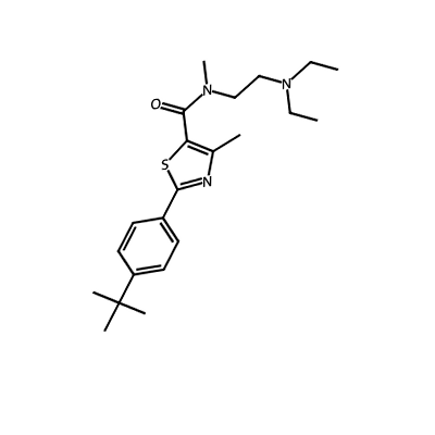 CCN(CC)CCN(C)C(=O)c1sc(-c2ccc(C(C)(C)C)cc2)nc1C